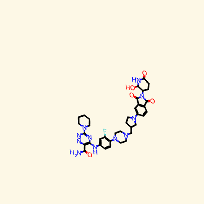 NC(=O)c1nnc(N2CCCCC2)nc1Nc1ccc(N2CCN(CC3CCN(c4ccc5c(c4)C(=O)N(C4CCC(=O)NC4O)C5=O)C3)CC2)c(F)c1